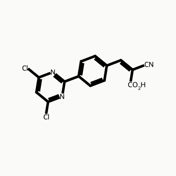 N#CC(=Cc1ccc(-c2nc(Cl)cc(Cl)n2)cc1)C(=O)O